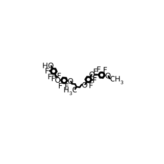 CCOc1ccc(C(F)(F)Oc2ccc(OCCC(C)CCOc3ccc(OC(F)(F)c4ccc(O)c(F)c4F)c(F)c3F)c(F)c2F)c(F)c1F